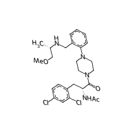 COC[C@H](C)NCc1ccccc1N1CCN(C(=O)[C@@H](Cc2ccc(Cl)cc2Cl)NC(C)=O)CC1